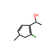 CB(O)C1=C(F)CC(C)C=C1